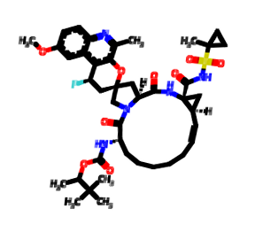 COc1ccc2nc(C)c3c(c2c1)[C@H](F)C[C@]1(C[C@H]2C(=O)N[C@]4(C(=O)NS(=O)(=O)C5(C)CC5)C[C@H]4/C=C\CCCCC[C@H](NC(=O)OC(C)C(C)(C)C)C(=O)N2C1)O3